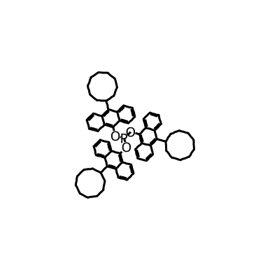 c1ccc2c(C3CCCCCCCCC3)c3ccccc3c(OP(Oc3c4ccccc4c(C4CCCCCCCCC4)c4ccccc34)Oc3c4ccccc4c(C4CCCCCCCCC4)c4ccccc34)c2c1